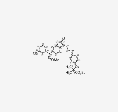 CCOC(=O)C(C)(C)Oc1ccc(OCCn2c(=O)sc3cc(/C(=N\OC)c4cccc(Cl)c4)ccc32)cc1